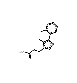 CNC(=O)OCc1c[nH]c(-c2cccnc2F)c1F